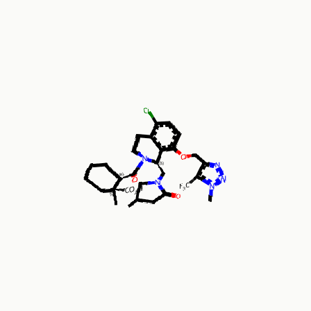 CC1CC(=O)N(C[C@@H]2c3c(OCc4nnn(C)c4C(F)(F)F)ccc(Cl)c3CCN2C(=O)[C@@H]2CCCC[C@]2(C)C(=O)O)C1